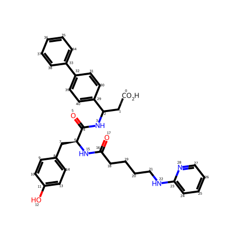 O=C(O)CC(NC(=O)[C@H](Cc1ccc(O)cc1)NC(=O)CCCCNc1ccccn1)c1ccc(-c2ccccc2)cc1